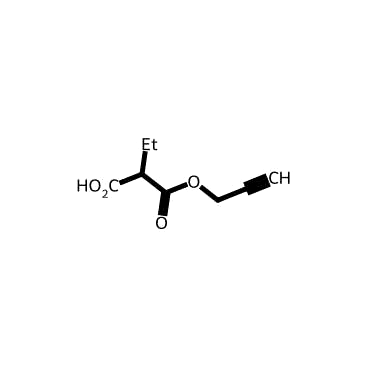 C#CCOC(=O)C(CC)C(=O)O